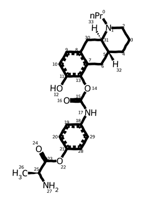 CCCN1CCC[C@@H]2Cc3c(ccc(O)c3OC(=O)Nc3ccc(OC(=O)[C@H](C)N)cc3)C[C@H]21